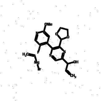 C=CC(O)c1cnc(-c2cc(OC)ncc2F)c(C2OCCO2)n1.C=[CH][Mg][Br]